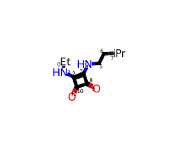 CCNc1c(NCCC(C)C)c(=O)c1=O